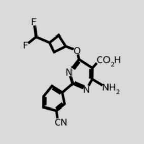 N#Cc1cccc(-c2nc(N)c(C(=O)O)c(OC3CC(C(F)F)C3)n2)c1